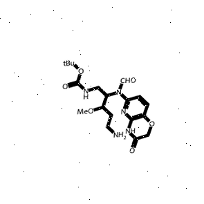 COC(CCN)C(CNC(=O)OC(C)(C)C)N(C=O)c1ccc2c(n1)NC(=O)CO2